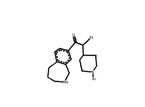 CCC(C(=O)c1ccc2c(c1)CNCCC2)C1CCN(C(C)=O)CC1